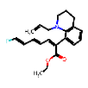 C=CCN1CCCc2cccc(C(=CC=CC=CF)C(=O)OCC)c21